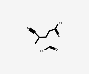 CC(C#N)CCC(=O)O.O=CO